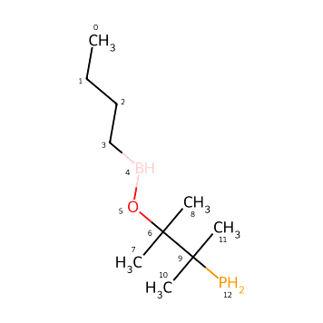 CCCCBOC(C)(C)C(C)(C)P